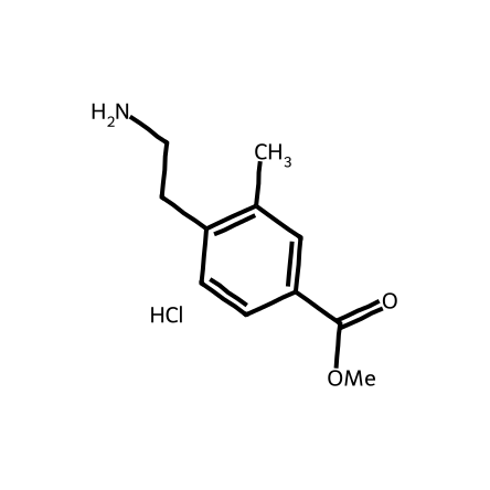 COC(=O)c1ccc(CCN)c(C)c1.Cl